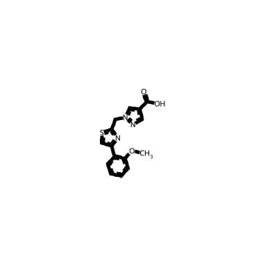 COc1ccccc1-c1csc(Cn2cc(C(=O)O)cn2)n1